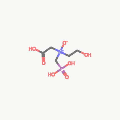 O=C(O)C[N+]([O-])(CCO)CP(=O)(O)O